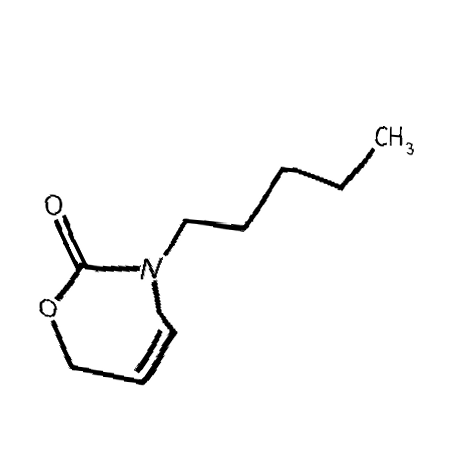 CCCCCN1C=CCOC1=O